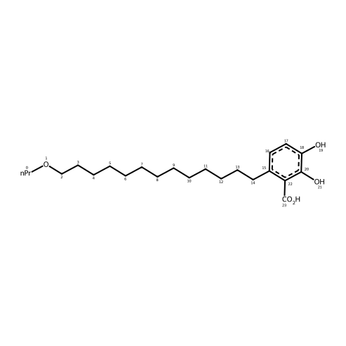 CCCOCCCCCCCCCCCCCc1ccc(O)c(O)c1C(=O)O